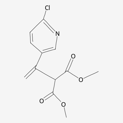 C=C(c1ccc(Cl)nc1)C(C(=O)OC)C(=O)OC